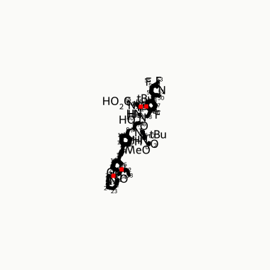 COC(=O)N[C@H](C(=O)N[C@@H](Cc1ccc(C#Cc2ccc(N3CC4CCC(C3)N4C(=O)[C@@H]3CCCO3)nc2)cc1)[C@@H](O)CN(Cc1c(F)cc(-c2cnc(F)c(F)c2)cc1F)NC(=O)[C@@H](NC(=O)O)C(C)(C)C)C(C)(C)C